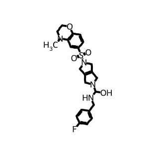 CN1CCOc2ccc(S(=O)(=O)N3CC4=C(CN(C(O)NCc5ccc(F)cc5)C4)C3)cc21